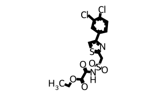 CCOC(=O)C(=O)NS(=O)(=O)Cc1nc(-c2ccc(Cl)c(Cl)c2)cs1